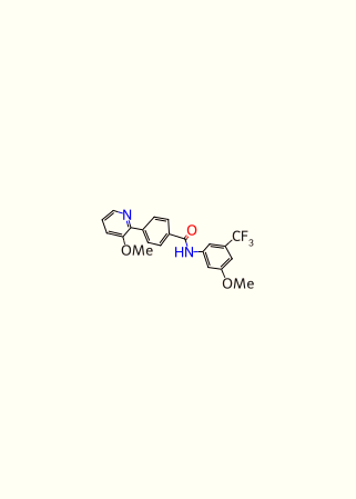 COc1cc(NC(=O)c2ccc(-c3ncccc3OC)cc2)cc(C(F)(F)F)c1